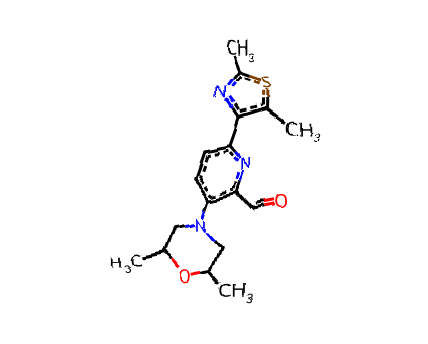 Cc1nc(-c2ccc(N3CC(C)OC(C)C3)c(C=O)n2)c(C)s1